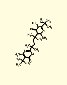 Cn1c(C(C)(C)C)nc(N)c(C(C)(C)CCC(C)(C)c2nc(N)c(C(C)(C)C)c(=O)[nH]2)c1=O